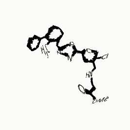 COC(=O)CNCc1cc(-c2nnc(-c3cccc(-c4ccccc4)c3C)o2)ccc1Cl